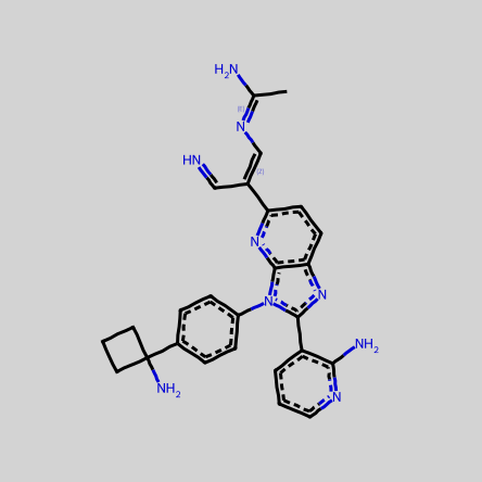 C/C(N)=N\C=C(/C=N)c1ccc2nc(-c3cccnc3N)n(-c3ccc(C4(N)CCC4)cc3)c2n1